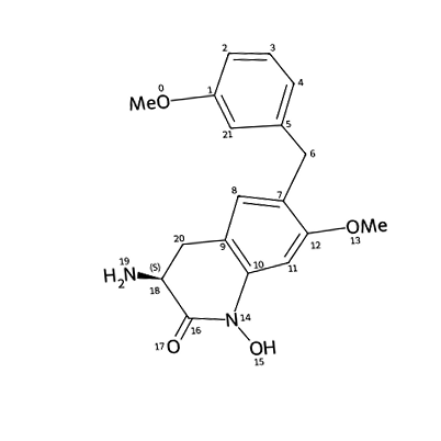 COc1cccc(Cc2cc3c(cc2OC)N(O)C(=O)[C@@H](N)C3)c1